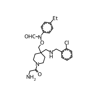 CCc1ccc(N(C=O)OCC2(CNCc3ccccc3Cl)CCN(C(=O)CN)CC2)cc1